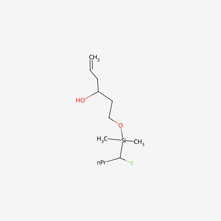 C=CCC(O)CCO[Si](C)(C)C(F)CCC